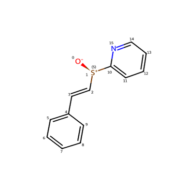 [O-][S@+](C=Cc1ccccc1)c1ccccn1